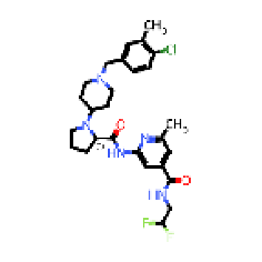 Cc1cc(C(=O)NCC(F)F)cc(NC(=O)[C@H]2CCCN2C2CCN(Cc3ccc(Cl)c(C)c3)CC2)n1